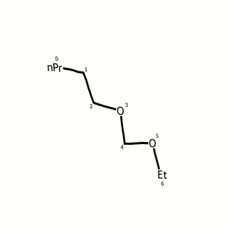 CCCCCOCOCC